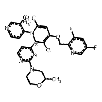 CC1=CC(OCc2ncc(F)cc2F)=C(Cl)[C@@H](c2ccnc(N3CCOC(C)C3)n2)N1c1ccncc1C